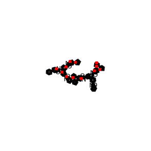 c1ccc(-c2ccc3nc(-c4ccc5c(c4)c4cc(-c6nc7ccc(-c8cccc(-c9cc%10nc(-c%11ccc%12c(c%11)c%11cc(-c%13nc%14ccccc%14o%13)ccc%11n%12-c%11nc%12cc(-c%13ccccc%13)c(-c%13ccccc%13)cc%12o%11)oc%10cc9-c9ccccc9)c8)cc7o6)ccc4n5-c4nc5ccc(-c6ccccc6)cc5o4)oc3c2)cc1